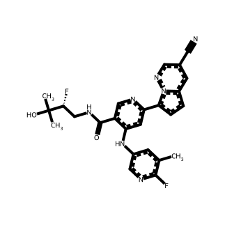 Cc1cc(Nc2cc(-c3ccc4cc(C#N)cnn34)ncc2C(=O)NC[C@@H](F)C(C)(C)O)cnc1F